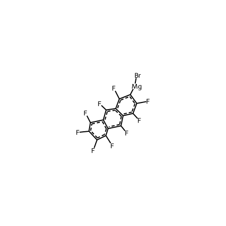 Fc1c(F)c(F)c2c(F)c3c(F)[c]([Mg][Br])c(F)c(F)c3c(F)c2c1F